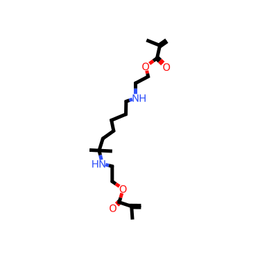 C=C(C)C(=O)OCCNCCCCCC(C)(C)NCCOC(=O)C(=C)C